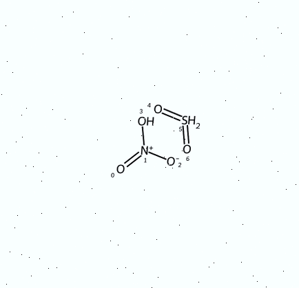 O=[N+]([O-])O.O=[SH2]=O